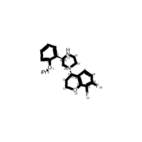 CC(C)Oc1ccccc1[C@@H]1CN([C@H]2CCOc3c2ccc(F)c3F)CCN1